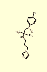 CC(C)(C[S+]([O-])c1ccc(Cl)cc1)NCCCn1ccnc1